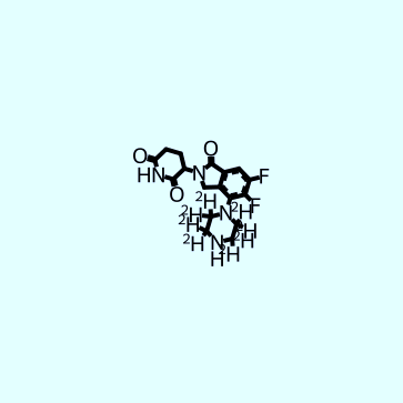 [2H]C1([2H])NC([2H])([2H])C([2H])([2H])N(c2c(F)c(F)cc3c2CN(C2CCC(=O)NC2=O)C3=O)C1([2H])[2H]